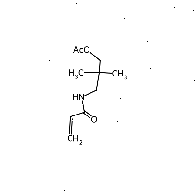 C=CC(=O)NCC(C)(C)COC(C)=O